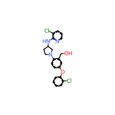 OCc1cc(Oc2ccccc2Cl)ccc1N1CCC(Nc2ncccc2Cl)C1